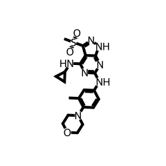 Cc1cc(Nc2nc(NC3CC3)c3c(S(C)(=O)=O)n[nH]c3n2)ccc1N1CCOCC1